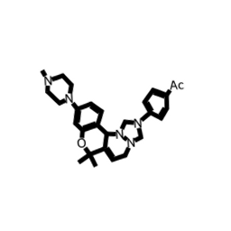 CC(=O)c1ccc(N2CN3CC=C4C(c5ccc(N6CCN(C)CC6)cc5OC4(C)C)N3C2)cc1